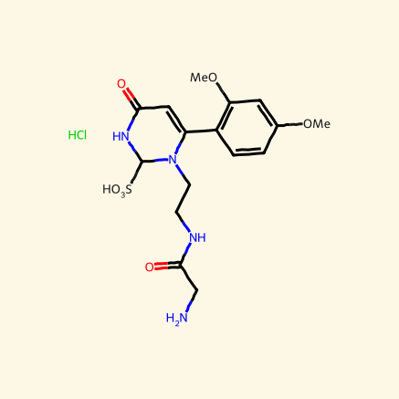 COc1ccc(C2=CC(=O)NC(S(=O)(=O)O)N2CCNC(=O)CN)c(OC)c1.Cl